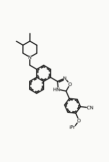 CC(C)Oc1ccc(C2NC(c3ccc(CN4CCC(C)C(C)C4)c4ccccc34)=NO2)cc1C#N